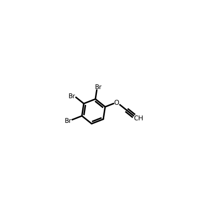 C#COc1ccc(Br)c(Br)c1Br